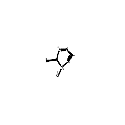 CC1N=CC=[C]N1Cl